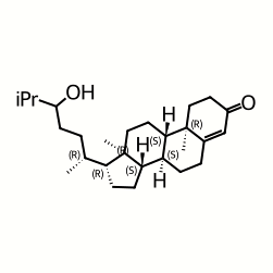 CC(C)C(O)CC[C@@H](C)[C@H]1CC[C@H]2[C@@H]3CCC4=CC(=O)CC[C@]4(C)[C@H]3CC[C@]12C